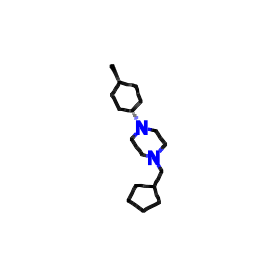 C[C@H]1CC[C@H](N2CCN(CC3CCCC3)CC2)CC1